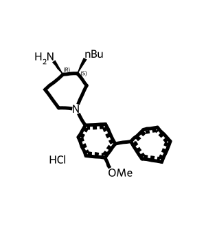 CCCC[C@H]1CN(c2ccc(OC)c(-c3ccccc3)c2)CC[C@H]1N.Cl